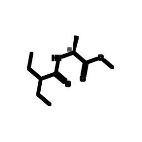 CCC(CC)C(=O)N[C@@H](C)C(=O)OC